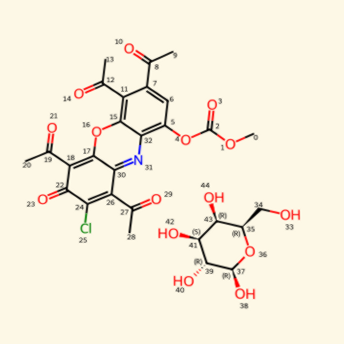 COC(=O)Oc1cc(C(C)=O)c(C(C)=O)c2oc3c(C(C)=O)c(=O)c(Cl)c(C(C)=O)c-3nc12.OC[C@H]1O[C@@H](O)[C@H](O)[C@@H](O)[C@H]1O